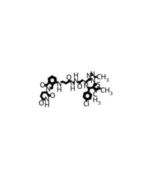 Cc1sc2c(c1C)C(c1ccc(Cl)cc1)=N[C@@H](CC(=O)NNC(=O)CCNc1cccc3c1CN(C1CCC(=O)NC1=O)C3=O)c1nnc(C)n1-2